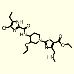 CCOC(=O)c1sc(N2CCC(NC(=O)c3nc(Cl)c(CC)[nH]3)C(OCC)C2)nc1CNC